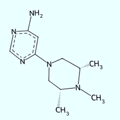 C[C@@H]1CN(c2cc(N)ncn2)C[C@H](C)N1C